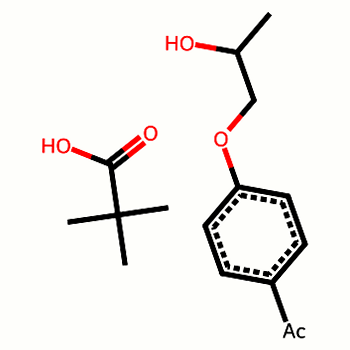 CC(=O)c1ccc(OCC(C)O)cc1.CC(C)(C)C(=O)O